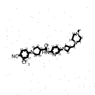 CN1CCN(CC2CN(c3ccc(NC(=O)C4CCN(c5ccc(C#N)c(C(F)(F)F)c5)CC4)nc3)C2)CC1